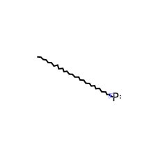 CCCCCCCCCCCCCCCCCCCCCCCCCCC/C=C/[P]